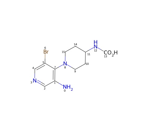 Nc1cncc(Br)c1N1CCC(NC(=O)O)CC1